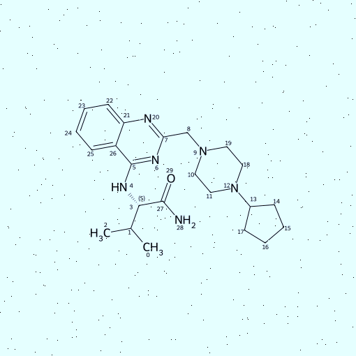 CC(C)[C@H](Nc1nc(CN2CCN(C3CCCC3)CC2)nc2ccccc12)C(N)=O